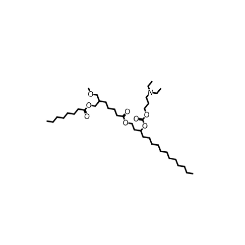 CCCCCCCCCCCCC(CCOC(=O)CCCCC(COC)COC(=O)CCCCCCC)OC(=O)OCCCN(CC)CC